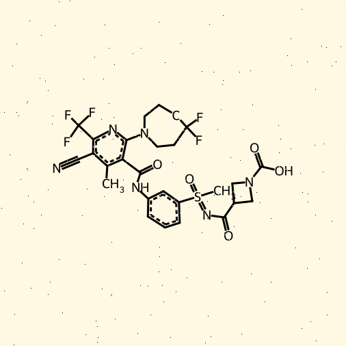 Cc1c(C#N)c(C(F)(F)F)nc(N2CCCC(F)(F)CC2)c1C(=O)Nc1cccc(S(C)(=O)=NC(=O)C2CN(C(=O)O)C2)c1